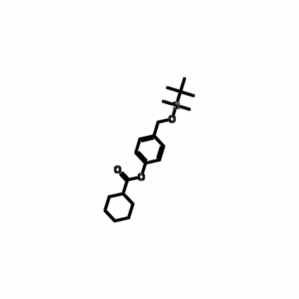 CC(C)(C)[Si](C)(C)OCc1ccc(OC(=O)C2CCCCC2)cc1